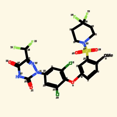 COc1ccc(Oc2c(Cl)cc(-n3nc(C(F)F)c(=O)[nH]c3=O)cc2Cl)cc1S(=O)(=O)N1CCC(F)(F)CC1